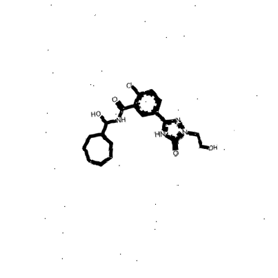 O=C(NC(O)C1CCCCCC1)c1cc(-c2nn(CCO)c(=O)[nH]2)ccc1Cl